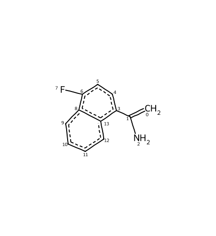 C=C(N)c1ccc(F)c2ccccc12